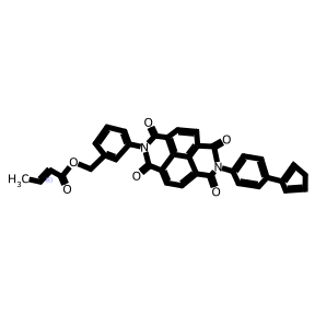 C/C=C/C(=O)OCc1cccc(N2C(=O)c3ccc4c5c(ccc(c35)C2=O)C(=O)N(c2ccc(C3=CCC=C3)cc2)C4=O)c1